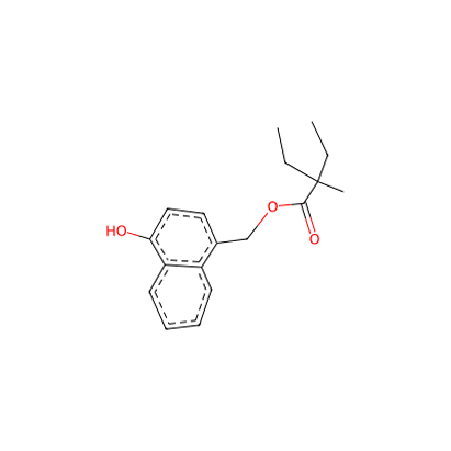 CCC(C)(CC)C(=O)OCc1ccc(O)c2ccccc12